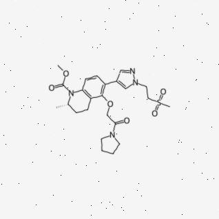 COC(=O)N1c2ccc(-c3cnn(CCS(C)(=O)=O)c3)c(OCC(=O)N3CCCC3)c2CC[C@@H]1C